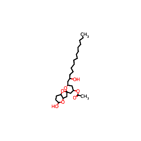 CCCCCCCCCCCCCC(O)CC1CC(OC(C)=O)CC2(CC3OC(O)CCC3O2)O1